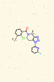 C[C@H]1c2nnn(-c3cccc(F)n3)c2CCN1C(=O)c1cccc(C(F)(F)F)c1Cl